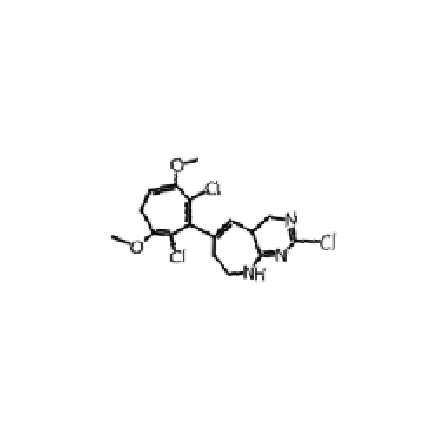 COC1=CCC(OC)=C(Cl)C(C2=CC3CN=C(Cl)N=C3NCC2)=C1Cl